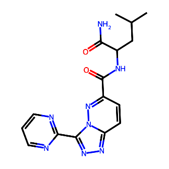 CC(C)CC(NC(=O)c1ccc2nnc(-c3ncccn3)n2n1)C(N)=O